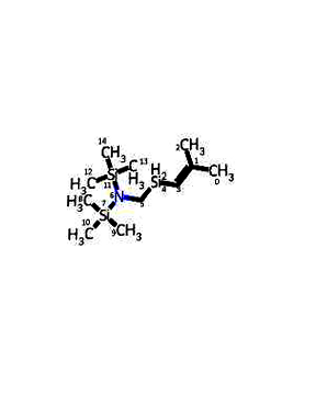 CC(C)=C[SiH2]CN([Si](C)(C)C)[Si](C)(C)C